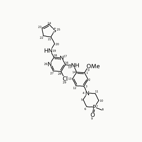 COc1cc(N2CCP(C)(=O)CC2)ccc1Nc1nc(NCC2CC=CS2)ncc1Cl